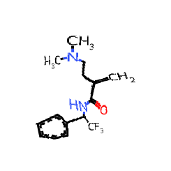 C=C(CCN(C)C)C(=O)NC(c1ccccc1)C(F)(F)F